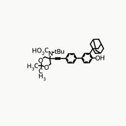 CC1(C)OCC(C#Cc2ccc(-c3ccc(O)c(C45CC6CC(CC(C6)C4)C5)c3)cc2)(N(C(=O)O)C(C)(C)C)CO1